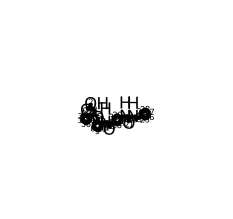 O=C(O)CC(Oc1ccccc1NC(=O)c1ccc(NC(=O)NCc2ccccc2)cc1)c1ccccc1